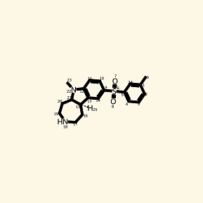 Cc1cccc(S(=O)(=O)c2ccc3c(c2)[C@H]2CCNCCC2N3C)c1